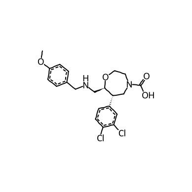 COc1ccc(CNC[C@H]2OCCN(C(=O)O)C[C@@H]2c2ccc(Cl)c(Cl)c2)cc1